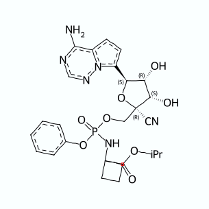 CC(C)OC(=O)C1(NP(=O)(OC[C@@]2(C#N)O[C@@H](c3ccc4c(N)ncnn34)[C@H](O)[C@@H]2O)Oc2ccccc2)CCC1